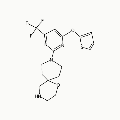 FC(F)(F)c1cc(Oc2cccs2)nc(N2CCC3(CC2)CNCCO3)n1